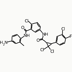 Cc1cc(N)ccc1NC(=O)c1cc(NC(=O)C2C(c3ccc(F)c(Cl)c3)C2(Cl)Cl)ccc1Cl